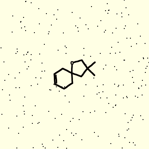 CC1(C)COC2(CC=[C]CC2)C1